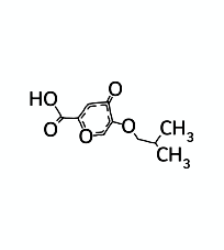 CC(C)COc1coc(C(=O)O)cc1=O